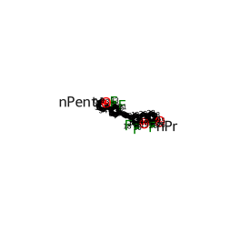 CCCCCC1=COC(c2ccc(C#Cc3cc4c(c(F)c3F)Oc3c(ccc(OCCC)c3F)C4)c(F)c2F)CC1